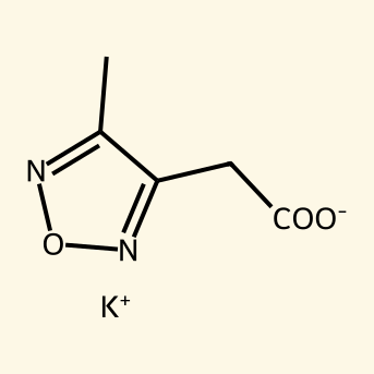 Cc1nonc1CC(=O)[O-].[K+]